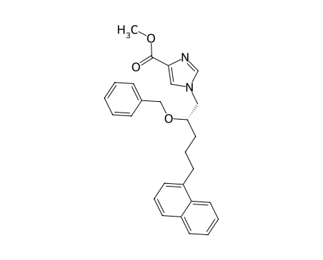 COC(=O)c1cn(C[C@H](CCCc2cccc3ccccc23)OCc2ccccc2)cn1